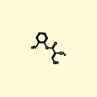 CCCc1ccccc1OC(=O)C(C)=CO